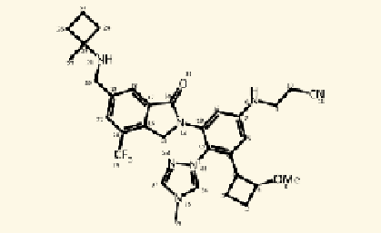 CO[C@H]1CCC1c1cc(NCCC#N)cc(N2Cc3c(cc(CNC4(C)CCC4)cc3C(F)(F)F)C2=O)c1-[n+]1cn(C)cn1